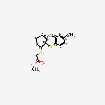 COC(=O)CSC1CCCCC1Sc1ccc(C)cc1C